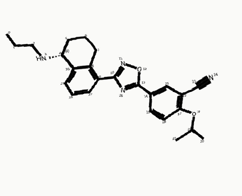 CCCN[C@@H]1CCCc2c(-c3noc(-c4ccc(OC(C)C)c(C#N)c4)n3)cccc21